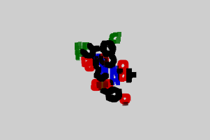 COc1ccc(CS(=O)(=O)[C@@H]2C[C@@H](C(=O)NC(C(C)C)C(O)C(F)(F)F)N(C(=O)C(Cc3cccc(Cl)c3)NC(=O)OC(C)(C)C)C2)cc1